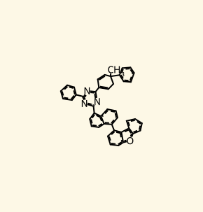 CC1(c2ccccc2)C=CC(c2nc(-c3ccccc3)nc(-c3cccc4c(-c5cccc6oc7ccccc7c56)cccc34)n2)=CC1